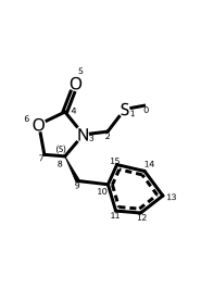 CSCN1C(=O)OC[C@@H]1Cc1ccccc1